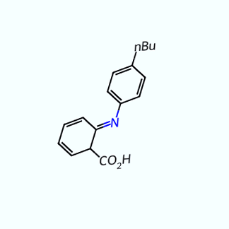 CCCCc1ccc(N=C2C=CC=CC2C(=O)O)cc1